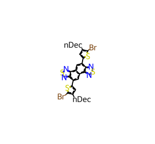 CCCCCCCCCCc1cc(-c2cc3c(cc(-c4cc(CCCCCCCCCC)c(Br)s4)c4nsnc43)c3nsnc23)sc1Br